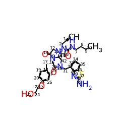 C#CCN(C(=O)NCCCC)N1CC(=O)N2[C@@H](Cc3ccc(OCCO)cc3)C(=O)N(Cc3cccc4sc(N)nc34)C[C@@H]21